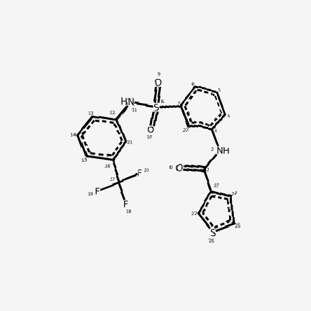 O=C(Nc1cccc(S(=O)(=O)Nc2cccc(C(F)(F)F)c2)c1)c1ccsc1